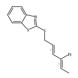 C/C=C(/C=C/CSc1nc2ccccc2s1)CC